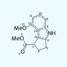 COC(=O)C1CCc2[nH]c3cccc(OC)c3c21